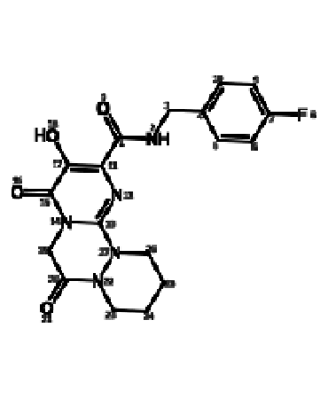 O=C(NCc1ccc(F)cc1)c1nc2n(c(=O)c1O)CC(=O)N1CCCCN21